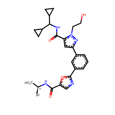 CC(C)[C@H](NC(=O)c1cnc(-c2cccc(-c3cc(C(=O)NC(C4CC4)C4CC4)n(CCO)n3)c2)o1)C(=O)O